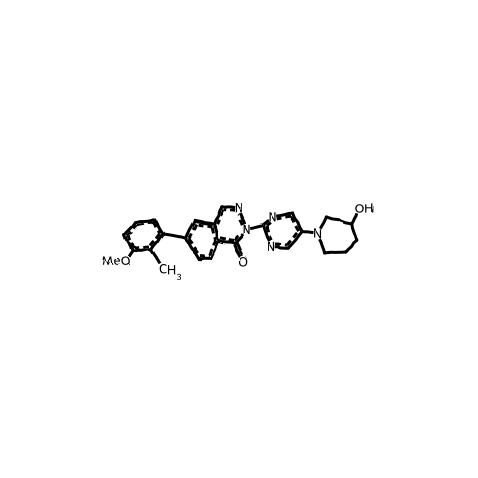 COc1cccc(-c2ccc3c(=O)n(-c4ncc(N5CCCC(O)C5)cn4)ncc3c2)c1C